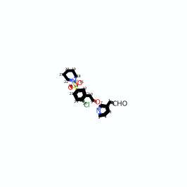 O=CCc1cccnc1OCCc1cc(S(=O)(=O)N2CCCCC2)ccc1Cl